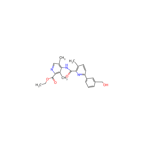 CCOC(=O)c1ncc(C)c(NC(=O)c2nc(-c3cccc(CO)c3)ccc2C)c1C